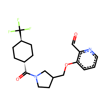 O=Cc1ncccc1OCC1CCN(C(=O)[C@H]2CC[C@H](C(F)(F)F)CC2)C1